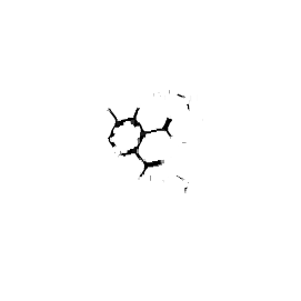 CNC.CNC.O=C(O)c1ncc(Cl)c(Cl)c1C(=O)O